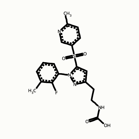 Cc1ccc(S(=O)(=O)c2cc(CCNC(=O)O)nn2-c2cccc(C)c2F)cn1